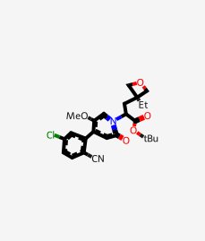 CCC1(CC(C(=O)OC(C)(C)C)n2cc(OC)c(-c3cc(Cl)ccc3C#N)cc2=O)COC1